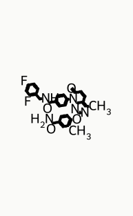 Cc1cc(C(N)=O)ccc1Oc1nc(C)c2ccc(=O)n(-c3ccc(C(=O)NCc4ccc(F)cc4F)cc3)c2n1